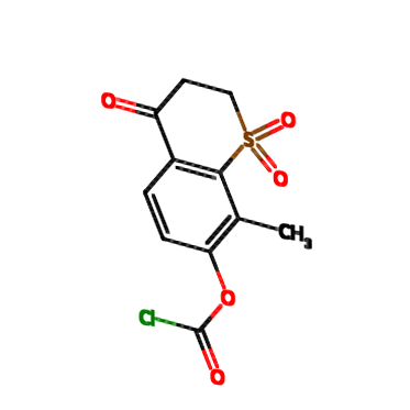 Cc1c(OC(=O)Cl)ccc2c1S(=O)(=O)CCC2=O